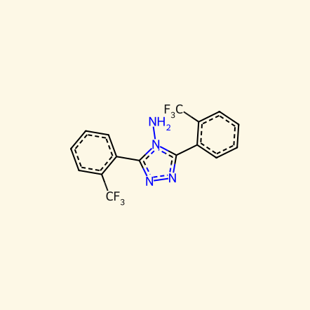 Nn1c(-c2ccccc2C(F)(F)F)nnc1-c1ccccc1C(F)(F)F